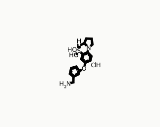 Cl.NCc1cccc(Oc2ccc3c(c2)S(O)(O)NC2CCCN32)c1